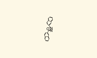 c1ccc2cc(-c3nnc(-c4ccc5ccccc5c4)o3)ccc2c1